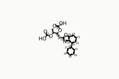 CC(OC(=O)O)C(OC(=O)O)Sc1nc2c(-c3ccccc3)cccc2o1